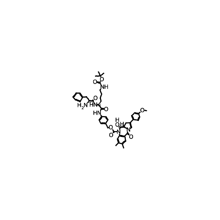 COc1ccc(C2=CN3C(=O)c4cc(C)c(C)cc4N(C(=O)OCc4ccc(NC(=O)[C@H](CCCCNC(=O)OC(C)(C)C)NC(=O)[C@@H](N)Cc5ccccc5)cc4)[C@@H](O)[C@@H]3C2)cc1